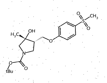 CC(C)(C)OC(=O)N1C[C@@H](COc2ccc(S(C)(=O)=O)cc2)[C@@](C)(O)C1